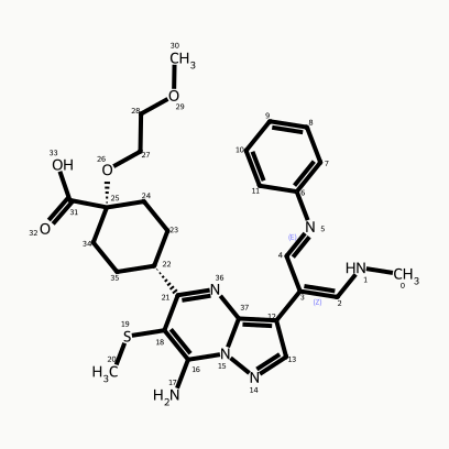 CN/C=C(\C=N\c1ccccc1)c1cnn2c(N)c(SC)c([C@H]3CC[C@](OCCOC)(C(=O)O)CC3)nc12